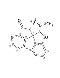 CN(C)C(=O)C(CC=O)(c1ccccc1)c1ccccc1